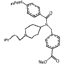 CCCCCc1ccc(C(=O)N(Cc2ccc(C(=O)OC)cc2)C2CCN(CCC(C)C)CC2)cc1